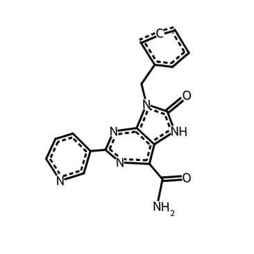 NC(=O)c1nc(-c2cccnc2)nc2c1[nH]c(=O)n2Cc1ccccc1